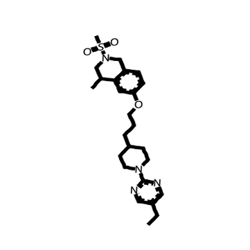 CCc1cnc(N2CCC(CCCOc3ccc4c(c3)C(C)CN(S(C)(=O)=O)C4)CC2)nc1